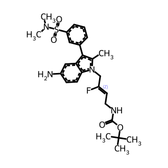 Cc1c(-c2cccc(S(=O)(=O)N(C)C)c2)c2cc(N)ccc2n1C/C(F)=C/CNC(=O)OC(C)(C)C